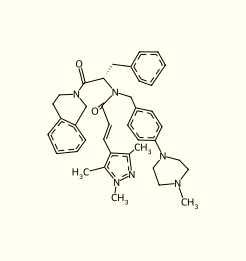 Cc1nn(C)c(C)c1C=CC(=O)N(Cc1ccc(N2CCN(C)CC2)cc1)[C@@H](Cc1ccccc1)C(=O)N1CCc2ccccc2C1